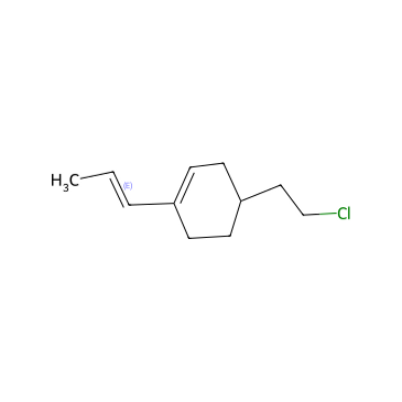 C/C=C/C1=CCC(CCCl)CC1